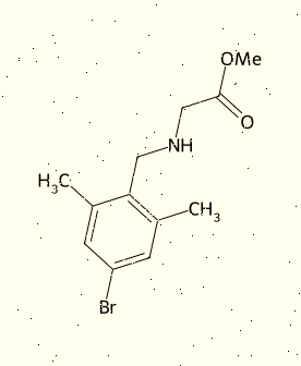 COC(=O)CNCc1c(C)cc(Br)cc1C